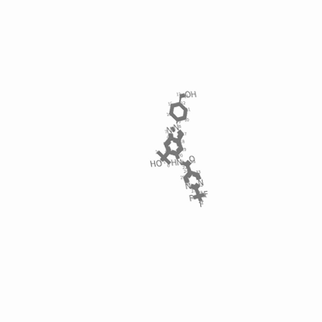 CC(C)(O)c1cc2nn([C@H]3CC[C@H](CO)CC3)cc2cc1NC(=O)c1cnc(C(F)(F)F)nc1